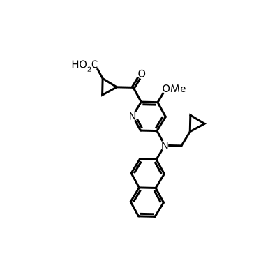 COc1cc(N(CC2CC2)c2ccc3ccccc3c2)cnc1C(=O)C1CC1C(=O)O